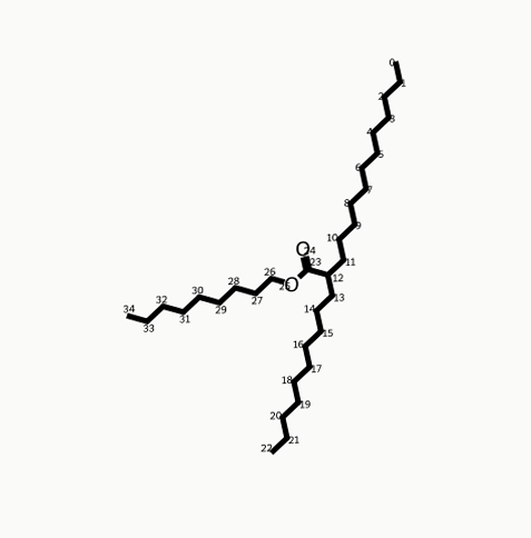 CCCCCCCCCCCCC(CCCCCCCCCC)C(=O)OCCCCCCCCC